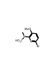 COc1ccc(Br)nc1N(C)C(=O)O